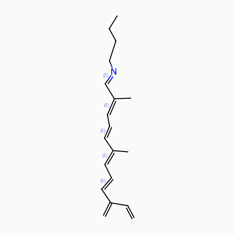 C=CC(=C)/C=C/C=C(C)/C=C/C=C(C)/C=N/CCCC